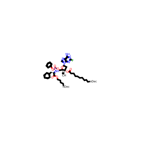 C#C[C@]1(CO[P@@](=O)(N[C@@H](Cc2ccccc2)C(=O)OCCCCCCCCCCCCCC)Oc2ccccc2)O[C@@H](n2cnc3c(N)nc(F)nc32)C[C@@H]1OC(=O)CCCCCCCCCCCCCCCCCCC